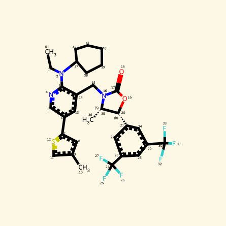 CCN(c1ncc(-c2cc(C)cs2)cc1CN1C(=O)O[C@H](c2cc(C(F)(F)F)cc(C(F)(F)F)c2)[C@@H]1C)C1CCCCC1